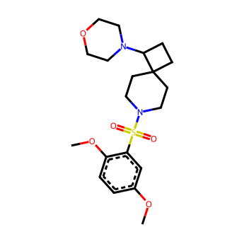 COc1ccc(OC)c(S(=O)(=O)N2CCC3(CCC3N3CCOCC3)CC2)c1